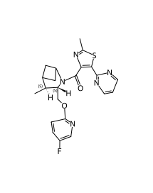 Cc1nc(C(=O)N2C3CC(C3)[C@H](C)[C@H]2COc2ccc(F)cn2)c(-c2ncccn2)s1